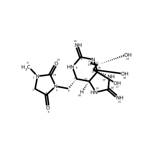 CN1CC(=O)N(C[C@@H]2NC(=N)N3C[C@H](O)C(O)(O)[C@@]34NC(=N)N[C@@H]24)C1=O